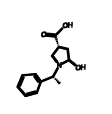 C[C@H](c1ccccc1)N1C[C@H](C(=O)O)CC1O